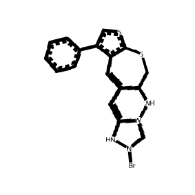 BrN1CN2NC3CSc4scc(-c5ccccc5)c4C=C3C=C2N1